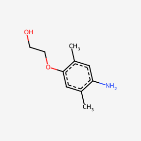 Cc1cc(OCCO)c(C)cc1N